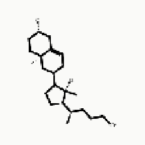 CC[C@@]1(C)C([C@@H]2CC=C3C[C@@H](Cl)CC[C@]3(C)C2)CC[C@@H]1[C@H](C)CCCC(C)C